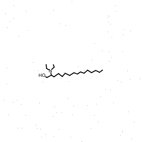 CCCCCCCCCCCCCCC(CO)N(CC)CC